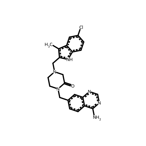 Cc1c(CN2CCN(Cc3ccc4c(N)ncnc4c3)C(=O)C2)[nH]c2ccc(Cl)cc12